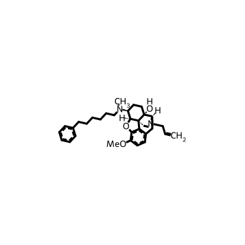 C=CCN1CC[C@]23c4c5ccc(OC)c4O[C@H]2[C@@H](N(C)CCCCCCc2ccccc2)CC[C@@]3(O)[C@H]1C5